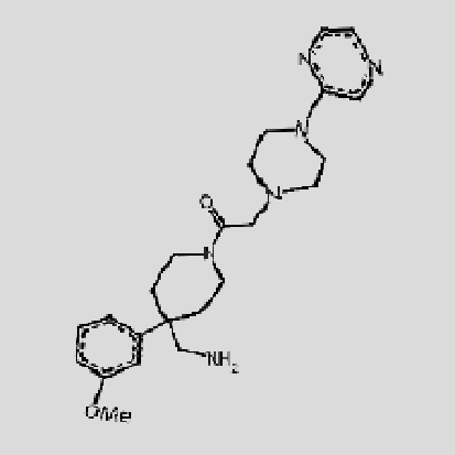 COc1cccc(C2(CN)CCN(C(=O)CN3CCN(c4cnccn4)CC3)CC2)c1